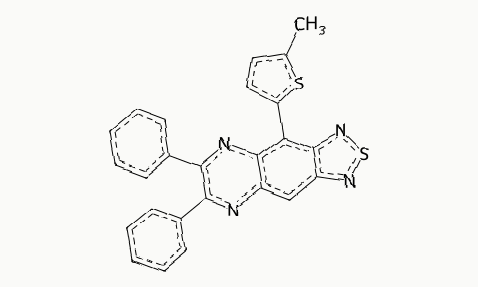 Cc1ccc(-c2c3nsnc3cc3nc(-c4ccccc4)c(-c4ccccc4)nc23)s1